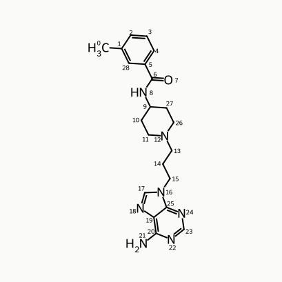 Cc1cccc(C(=O)NC2CCN(CCCn3cnc4c(N)ncnc43)CC2)c1